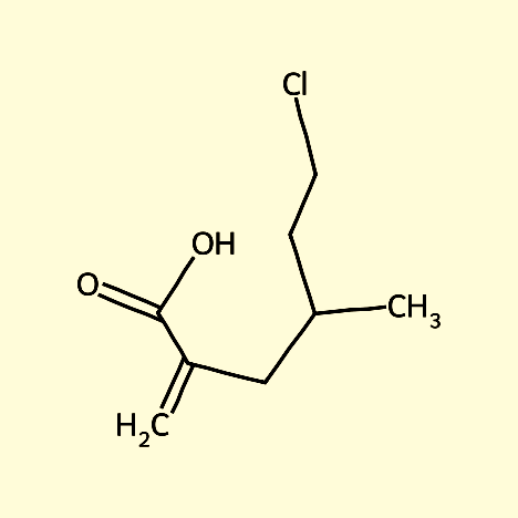 C=C(CC(C)CCCl)C(=O)O